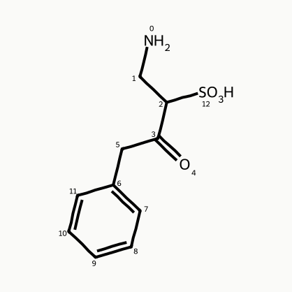 NCC(C(=O)Cc1ccccc1)S(=O)(=O)O